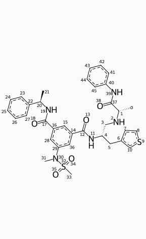 C[C@H](NC[C@H](Cc1ccsc1)NC(=O)c1cc(C(=O)N[C@H](C)c2ccccc2)cc(N(C)S(C)(=O)=O)c1)C(=O)Nc1ccccc1